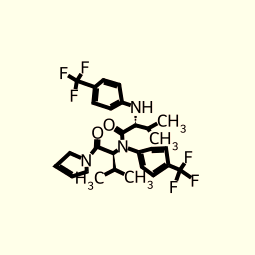 CC(C)[C@@H](C(=O)N1CC=CC1)N(C(=O)[C@H](Nc1ccc(C(F)(F)F)cc1)C(C)C)c1ccc(C(F)(F)F)cc1